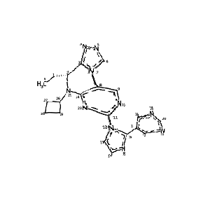 CC[C@@H]1c2nncn2-c2cnc(-n3ccnc3-c3cncnc3)nc2N1C1CCC1